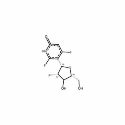 O=c1cc(F)c([C@@H]2O[C@H](CO)C(O)[C@@H]2F)c(F)[nH]1